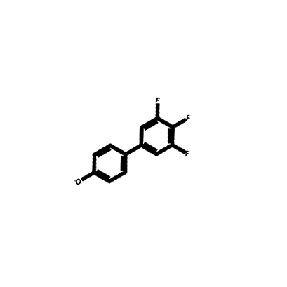 [O]c1ccc(-c2cc(F)c(F)c(F)c2)cc1